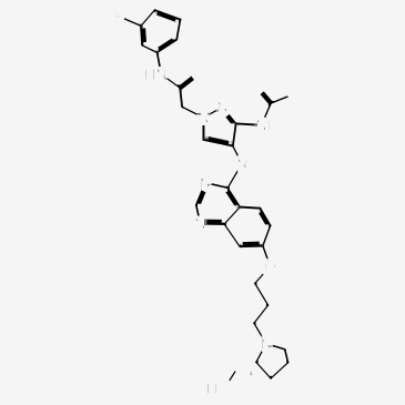 CC(=O)Nc1nn(CC(=O)Nc2cccc(F)c2)cc1Nc1ncnc2cc(OCCCN3CCC[C@@H]3CO)ccc12